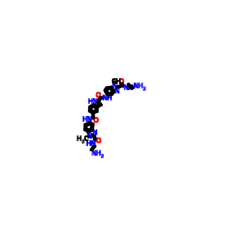 Cn1c(C(=O)NCCN)nc2cc(NC(=O)c3ccc4[nH]c(C(=O)Nc5ccc6c(c5)nc(C(=O)NCCN)n6C)cc4c3)ccc21